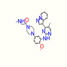 CNCC(=O)N1CCN(c2ccc(OC)c(Nc3ncc(C)c(-c4cnn5ccccc45)n3)c2)CC1